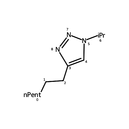 CCCCCCCc1cn(C(C)C)nn1